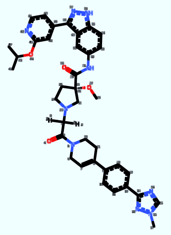 [2H]C([2H])(C(=O)N1CC=C(c2ccc(-c3ncn(C)n3)cc2)CC1)N1CC[C@@](OC)(C(=O)Nc2ccc3[nH]nc(-c4ccnc(OC(C)C)c4)c3c2)C1